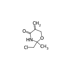 C=C1COC(C)(CCl)NC1=O